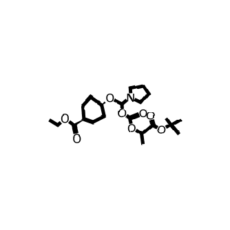 CCOC(=O)[C@H]1CC[C@H](OC(OC(=O)OC(C)C(=O)OC(C)(C)C)N2CCCC2)CC1